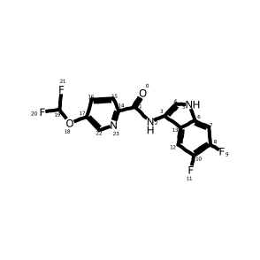 O=C(Nc1c[nH]c2cc(F)c(F)cc12)c1ccc(OC(F)F)cn1